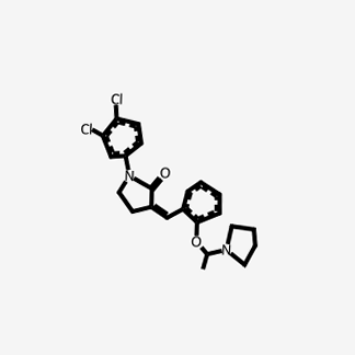 CC(Oc1ccccc1C=C1CCN(c2ccc(Cl)c(Cl)c2)C1=O)N1CCCC1